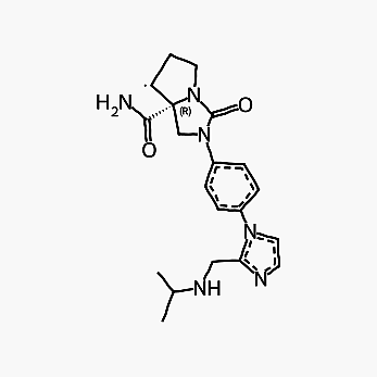 CC(C)NCc1nccn1-c1ccc(N2C[C@@]3(C(N)=O)[CH]CCN3C2=O)cc1